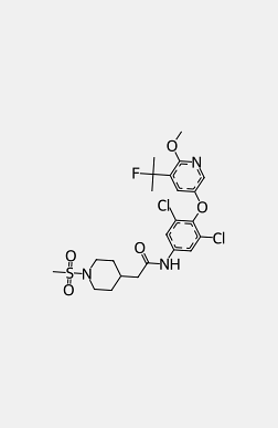 COc1ncc(Oc2c(Cl)cc(NC(=O)CC3CCN(S(C)(=O)=O)CC3)cc2Cl)cc1C(C)(C)F